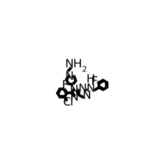 NCCN1CCC(n2c(-c3c(F)cccc3Cl)nc3cnc(NCc4ccccc4F)nc32)CC1